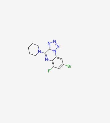 Fc1cc(Br)cc2c1nc(N1CCCCC1)c1nnnn12